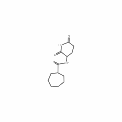 O=C1CCC(NC(=O)C2CCCCCC2)C(=O)N1